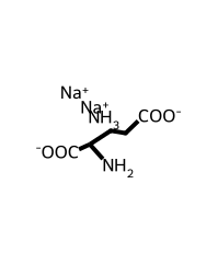 N.NC(CCC(=O)[O-])C(=O)[O-].[Na+].[Na+]